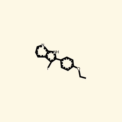 CCOc1ccc(-c2[nH]c3ncccc3c2I)cc1